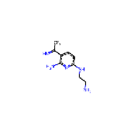 N=C(c1ccc(NCCN)nc1N)C(F)(F)F